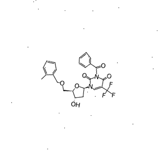 Cc1ccccc1COC[C@H]1O[C@@H](n2cc(C(F)(F)F)c(=O)n(C(=O)c3ccccc3)c2=O)C[C@@H]1O